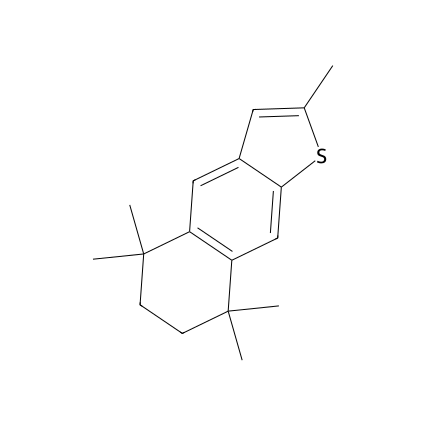 Cc1cc2cc3c(cc2s1)C(C)(C)CCC3(C)C